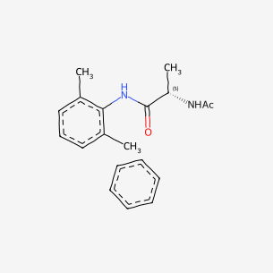 CC(=O)N[C@@H](C)C(=O)Nc1c(C)cccc1C.c1ccccc1